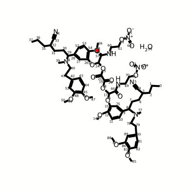 CCCC(C#N)CCC(c1ccc(OC)c(OC(OC(=O)C(=O)OC(Oc2cc(C(CCC(C#N)CCC)N(C)CCc3ccc(OC)c(OC)c3)ccc2OC)C(=O)NCCO[N+](=O)[O-])C(=O)NCCO[N+](=O)[O-])c1)N(C)CCc1ccc(OC)c(OC)c1.O